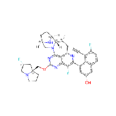 C#Cc1c(F)ccc2cc(O)cc(-c3nc4c5c(nc(OC[C@@]67CCCN6C[C@H](F)C7)nc5c3F)N3C[C@H]5CC[C@H](N5)[C@@H]3[C@H](C)C4)c12